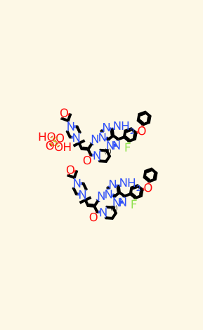 CC(C)(C=C(C#N)C(=O)N1CCC[C@@H](n2nc(-c3ccc(Oc4ccccc4)cc3F)c3c(N)ncnc32)C1)N1CCN(C2COC2)CC1.CC(C)(C=C(C#N)C(=O)N1CCC[C@@H](n2nc(-c3ccc(Oc4ccccc4)cc3F)c3c(N)ncnc32)C1)N1CCN(C2COC2)CC1.O=S(=O)(O)O